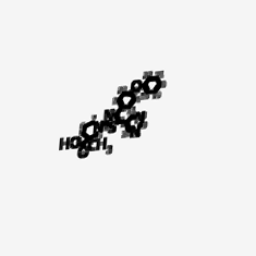 CC1(C(=O)O)CCCN(c2nc(-c3ccc(Oc4ccccc4)cc3)c(-c3cncnc3)s2)C1